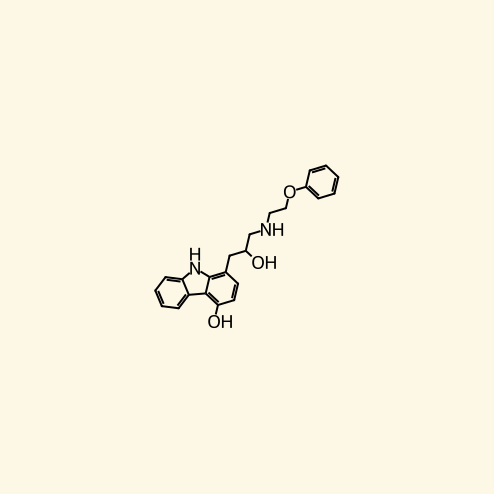 Oc1ccc(CC(O)CNCCOc2ccccc2)c2[nH]c3ccccc3c12